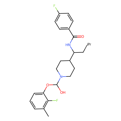 Cc1cccc(OC(O)N2CCC(C(CC(C)C)NC(=O)c3ccc(F)cc3)CC2)c1F